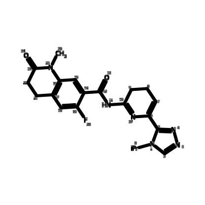 CC(C)n1cnnc1C1=CCCC(NC(=O)c2cc3c(cc2F)CCC(=O)N3C)=N1